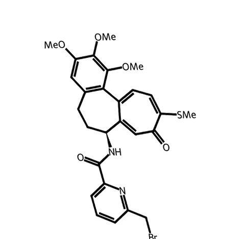 COc1cc2c(c(OC)c1OC)-c1ccc(SC)c(=O)cc1[C@@H](NC(=O)c1cccc(CBr)n1)CC2